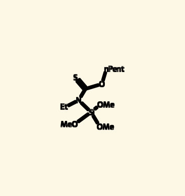 CCCCCOC(=S)N(CC)[Si](OC)(OC)OC